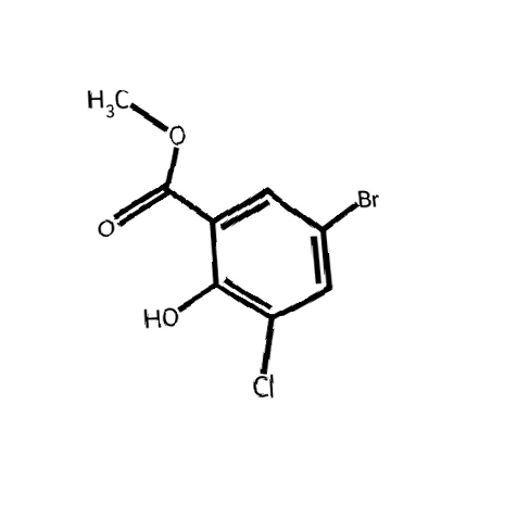 COC(=O)c1cc(Br)cc(Cl)c1O